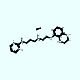 CC.c1cnc(NCCCNCCOc2cccc3c2OCCO3)nc1